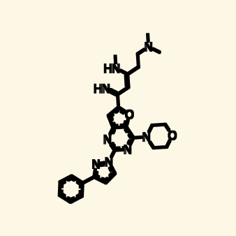 CN/C(=C\C(=N)c1cc2nc(-n3ccc(-c4ccccc4)n3)nc(N3CCOCC3)c2o1)CCN(C)C